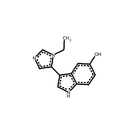 CCn1cncc1-c1c[nH]c2ccc(O)cc12